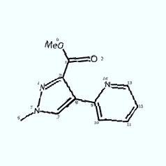 COC(=O)c1nn(C)cc1-c1ccccn1